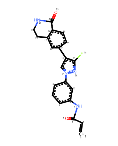 C=CC(=O)Nc1cccc(-n2cc(-c3ccc4c(c3)CCNC4=O)c(F)n2)c1